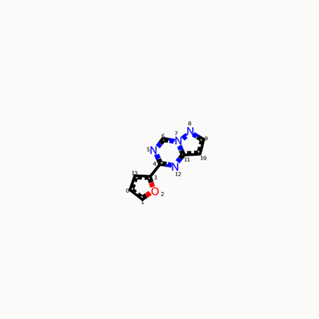 c1coc(-c2ncn3nccc3n2)c1